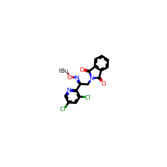 CC(C)(C)ON=C(CN1C(=O)c2ccccc2C1=O)c1ncc(Cl)cc1Cl